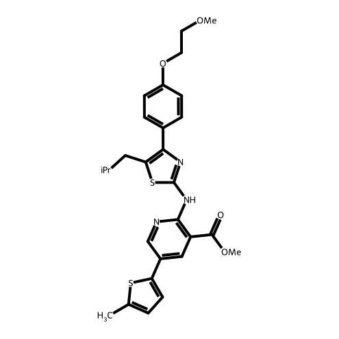 COCCOc1ccc(-c2nc(Nc3ncc(-c4ccc(C)s4)cc3C(=O)OC)sc2CC(C)C)cc1